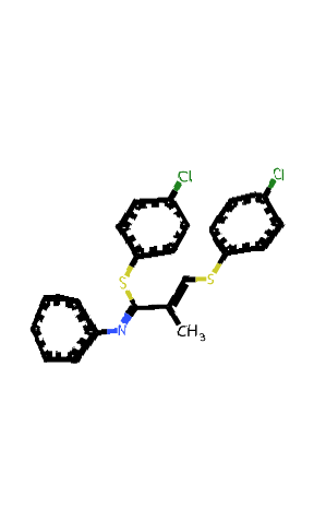 CC(=C\Sc1ccc(Cl)cc1)/C(=N/c1ccccc1)Sc1ccc(Cl)cc1